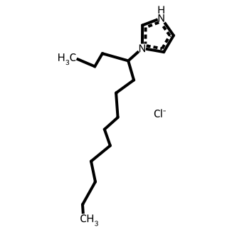 CCCCCCCCCC(CCC)[n+]1cc[nH]c1.[Cl-]